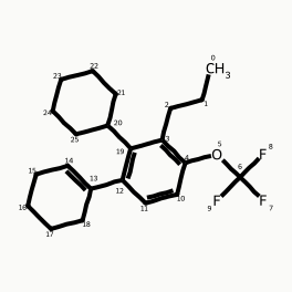 CCCc1c(OC(F)(F)F)ccc(C2=CCCCC2)c1C1CCCCC1